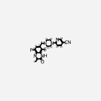 Cc1nc2c(F)cc(CN3CCN(c4ccc(C#N)cn4)CC3)c(F)c2[nH]c1=O